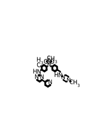 Cc1cc(N(c2ccc(CNN3CCN(C)CC3)cc2)S(C)(=O)=O)ccc1Nc1nccc(-c2cccnc2)n1